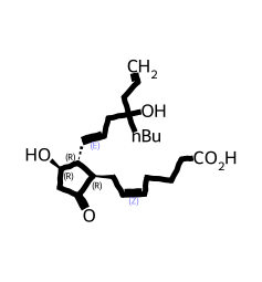 C=CCC(O)(C/C=C/[C@H]1[C@H](O)CC(=O)[C@@H]1C/C=C\CCCC(=O)O)CCCC